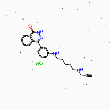 C#CCNCCCCCNc1cccc(-c2n[nH]c(=O)c3ccccc23)c1.Cl